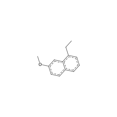 CCc1cccc2ccc(OC)cc12